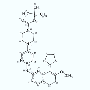 COC1=C(C2CCCC2)c2nc(Nc3ccc(N4CCN(C(=O)OC(C)(C)C)CC4)cn3)ncc2CC1